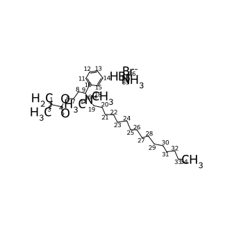 Br.C=C(C)C(=O)OCCC(c1ccccc1)[N+](C)(C)CCCCCCCCCCCCCCCC.N.[Br-]